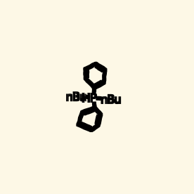 CCCC[PH](CCCC)(c1ccccc1)c1ccccc1